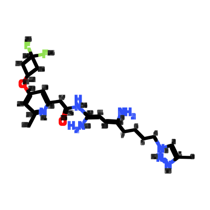 Cc1cn(CCCC/C(N)=C/C=C(\N)NC(=O)Cc2cc(OC3CC(F)(F)C3)cc(C)n2)nn1